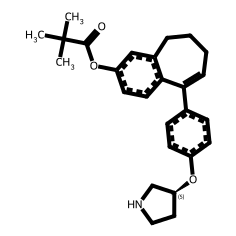 CC(C)(C)C(=O)Oc1ccc2c(c1)CCCC=C2c1ccc(O[C@H]2CCNC2)cc1